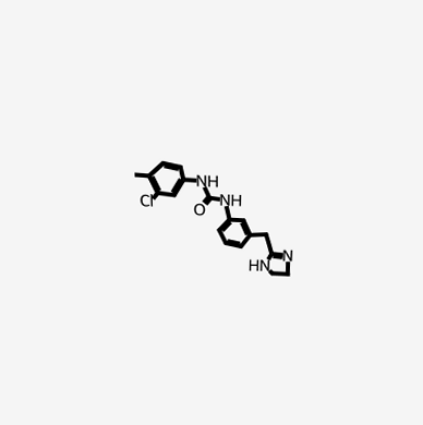 Cc1ccc(NC(=O)Nc2cccc(CC3=NCCN3)c2)cc1Cl